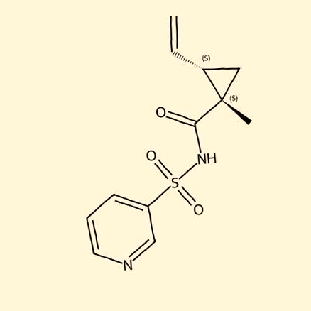 C=C[C@@H]1C[C@]1(C)C(=O)NS(=O)(=O)c1cccnc1